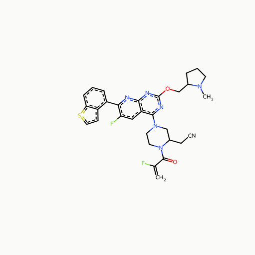 C=C(F)C(=O)N1CCN(c2nc(OCC3CCCN3C)nc3nc(-c4cccc5sccc45)c(F)cc23)CC1CC#N